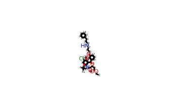 CCOC(=O)CC1OC(c2cccc(OCCCNCCCc3ccccc3)c2OC)c2cc(Cl)ccc2N(CC(C)(C)C)C1=O